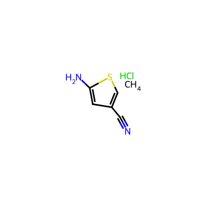 C.Cl.N#Cc1csc(N)c1